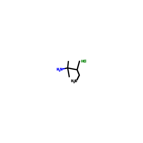 CC(C[SiH3])C(C)(C)N.Cl